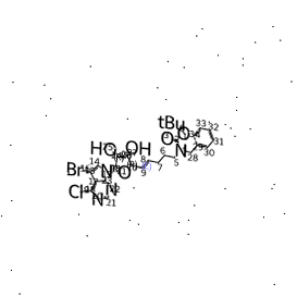 CC(C)(C)OC(=O)N(CCC/C=C/[C@H]1O[C@@H](n2cc(Br)c3c(Cl)ncnc32)[C@H](O)[C@@H]1O)Cc1ccccc1